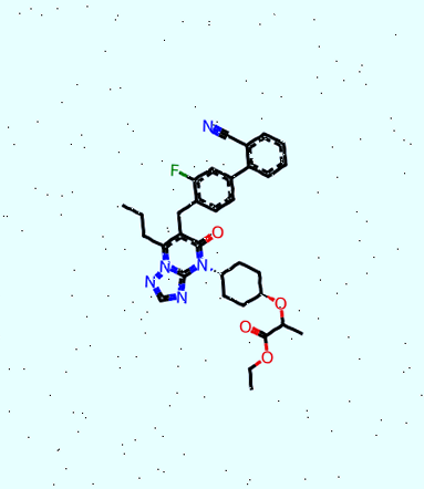 CCCc1c(Cc2ccc(-c3ccccc3C#N)cc2F)c(=O)n([C@H]2CC[C@H](OC(C)C(=O)OCC)CC2)c2ncnn12